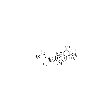 CC(C)CCC[C@@H](C)[C@H]1CC[C@H]2[C@@H]3CC=C4C(C)(C)[C@@H](O)[C@@H](O)C[C@]4(C)[C@H]3CC[C@]12C